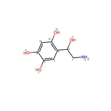 NCC(O)c1cc(O)c(O)cc1O